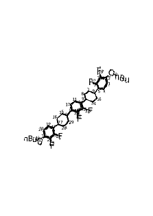 CCCCOc1ccc(C2CCC(c3ccc(C4CCC(c5ccc(OCCCC)c(F)c5F)CC4)c(F)c3F)CC2)c(F)c1F